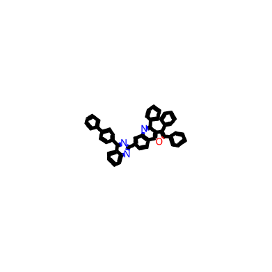 c1ccc(-c2ccc(-c3nc(-c4ccc5c(c4)nc(-c4ccccc4)c4c(-c6ccccc6)c(-c6ccccc6)oc45)nc4ccccc34)cc2)cc1